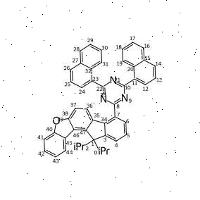 CC(C)C1(C(C)C)c2cccc(-c3nc(-c4cccc5ccccc45)nc(-c4cccc5ccccc45)n3)c2-c2ccc3oc4ccccc4c3c21